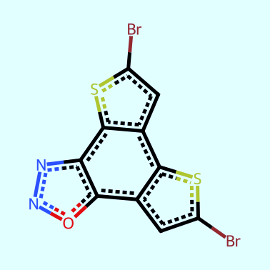 Brc1cc2c3onnc3c3sc(Br)cc3c2s1